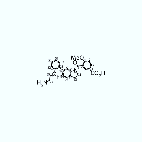 COc1ccc(C(=O)O)cc1C(=O)N1CCc2cc(F)c(-c3ccccc3OCCN)cc21